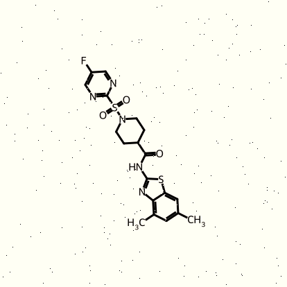 Cc1cc(C)c2nc(NC(=O)C3CCN(S(=O)(=O)c4ncc(F)cn4)CC3)sc2c1